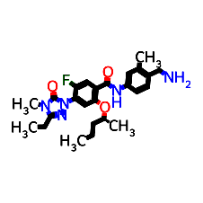 CCC[C@H](C)Oc1cc(-n2nc(CC)n(C)c2=O)c(F)cc1C(=O)Nc1ccc(CN)c(C)c1